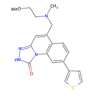 COCCN(C)Cc1cc2n[nH]c(=O)n2c2cc(-c3ccsc3)ccc12